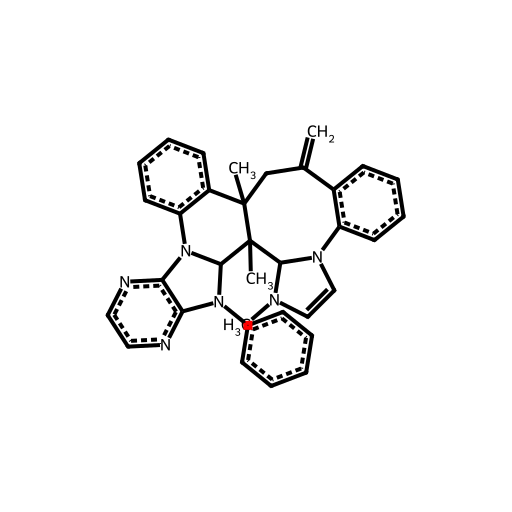 C=C1CC2(C)c3ccccc3N3c4nccnc4N(c4ccccc4)C3C2(C)C2N(C)C=CN2c2ccccc21